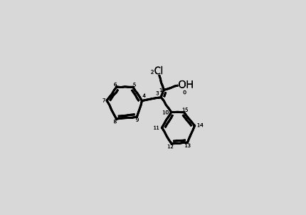 OC(Cl)=C(c1ccccc1)c1ccccc1